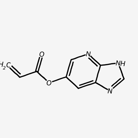 C=CC(=O)Oc1cnc2[nH]cnc2c1